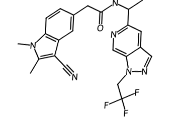 Cc1c(C#N)c2cc(CC(=O)NC(C)c3cc4cnn(CC(F)(F)F)c4cn3)ccc2n1C